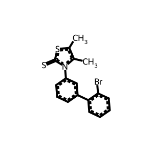 Cc1sc(=S)n(-c2cccc(-c3ccccc3Br)c2)c1C